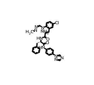 C=N/N=C\N(N)c1ccc(Cl)cc1/C=C/C(=O)N[C@@H](Cc1ccccc1)C(=O)Nc1ccc(-n2cncn2)cc1